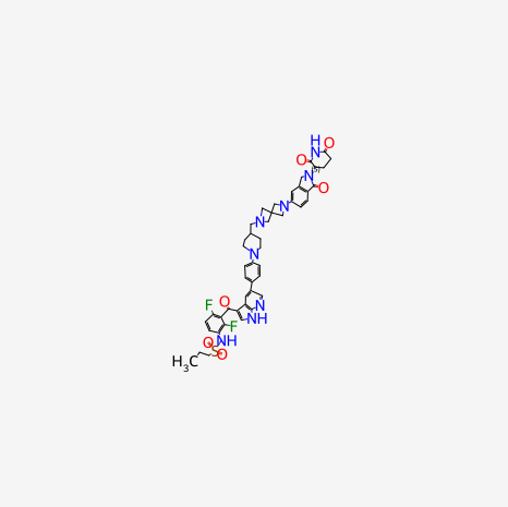 CCCS(=O)(=O)Nc1ccc(F)c(C(=O)c2c[nH]c3ncc(-c4ccc(N5CCC(CN6CC7(C6)CN(c6ccc8c(c6)CN([C@H]6CCC(=O)NC6=O)C8=O)C7)CC5)cc4)cc23)c1F